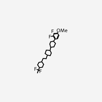 COc1ccc(C2CCC(C3CCC(CCC4CCC(C(C)(F)F)CC4)CC3)CC2)c(F)c1F